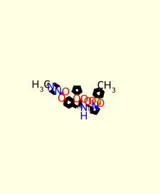 Cc1ccc(S(=O)(=O)N2CCC[C@H]2C(=O)N[C@@H](Cc2ccc(OC(=O)N3CCN(C)CC3)cc2)C(=O)OC2CCCC2)cc1